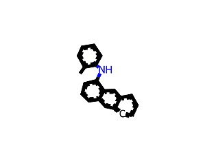 Cc1ccccc1Nc1cccc2cc3ccccc3cc12